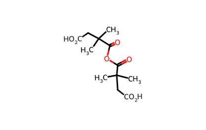 CC(C)(CC(=O)O)C(=O)OC(=O)C(C)(C)CC(=O)O